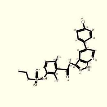 CCCS(=O)(=O)Nc1ccc(F)c(C(=O)Nc2n[nH]c3ncc(-c4ccc(Cl)cc4)cc23)c1F